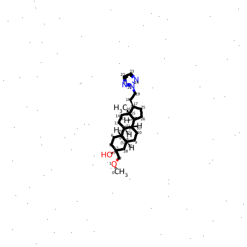 COC[C@@]1(O)CC[C@H]2[C@@H](CC[C@@H]3[C@@H]2CC[C@]2(C)[C@@H](CCn4nccn4)CC[C@@H]32)C1